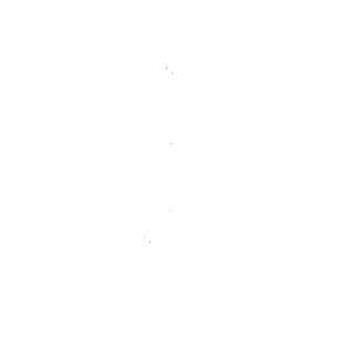 c1ccc(C2(N3CCC3)CCC3(CCNCC3)CC2)cc1